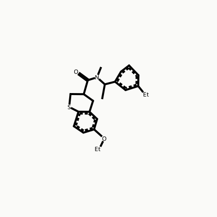 CCOc1ccc2c(c1)CC(C(=O)N(C)C(C)c1cccc(CC)c1)CS2